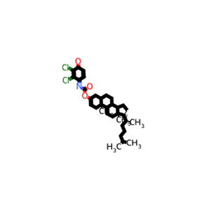 CC(C)CCC[C@@H](C)[C@H]1CCC2C3CCC4CC(OC(=O)N=C5C=CC(=O)C(Cl)=C5Cl)=CC[C@]4(C)C3CC[C@@]21C